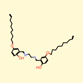 C=CCCCCCCCCOc1ccc(O)c(/C=N/CC/N=C/c2cc(OCCCCCCCCC=C)ccc2O)c1